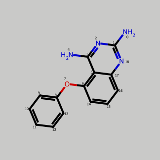 Nc1nc(N)c2c(Oc3ccccc3)cccc2n1